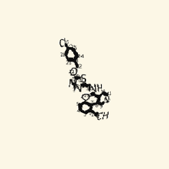 C#Cc1ccccc1-c1cnccc1C(=O)Nc1nnc(OCc2ccc(Cl)cc2)s1